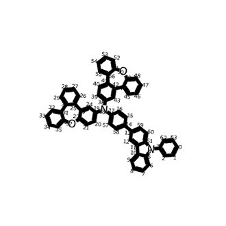 c1ccc(-n2c3ccccc3c3cc(-c4ccc(N(c5ccc6c(c5)-c5ccccc5-c5ccccc5O6)c5ccc6c(c5)-c5ccccc5Oc5ccccc5-6)cc4)ccc32)cc1